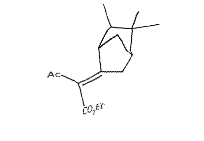 CCOC(=O)/C(C(C)=O)=C1\CC2CC1C(C)C2(C)C